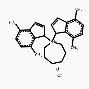 Cc1ccc(C)c2c1C=C[CH]2[Zr+2]1([CH]2C=Cc3c(C)ccc(C)c32)[CH2]CCCC[CH2]1.[Cl-].[Cl-]